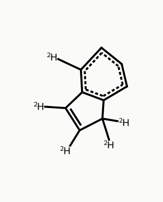 [2H]C1=C([2H])C([2H])([2H])c2cccc([2H])c21